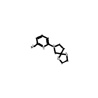 Brc1cccc(N2CCC3(C2)OCCO3)n1